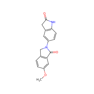 COc1ccc2c(c1)C(=O)N(c1ccc3c(c1)CC(=O)N3)C2